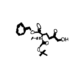 CC(C)(C)OC(=O)NC(CCC(=O)CO)C(=O)OCc1ccccc1